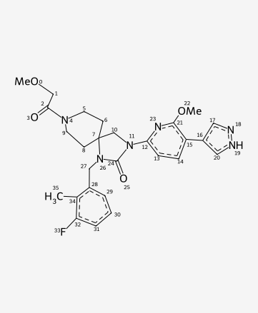 COCC(=O)N1CCC2(CC1)CN(c1ccc(-c3cn[nH]c3)c(OC)n1)C(=O)N2Cc1cccc(F)c1C